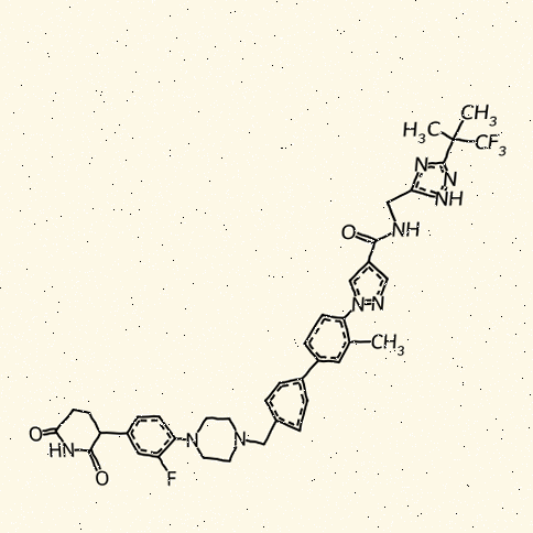 Cc1cc(-c2ccc(CN3CCN(c4ccc(C5CCC(=O)NC5=O)cc4F)CC3)cc2)ccc1-n1cc(C(=O)NCc2nc(C(C)(C)C(F)(F)F)n[nH]2)cn1